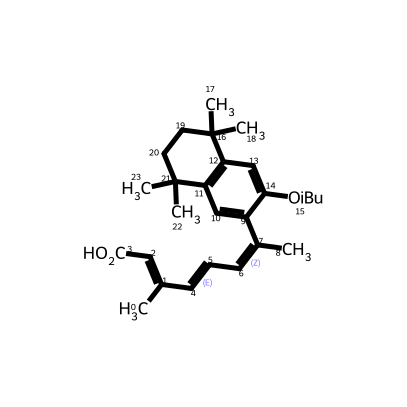 CC(=CC(=O)O)/C=C/C=C(/C)c1cc2c(cc1OCC(C)C)C(C)(C)CCC2(C)C